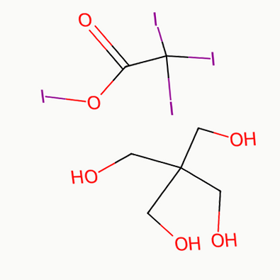 O=C(OI)C(I)(I)I.OCC(CO)(CO)CO